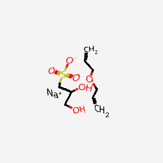 C=CCOCC=C.O=S(=O)([O-])CC(O)CO.[Na+]